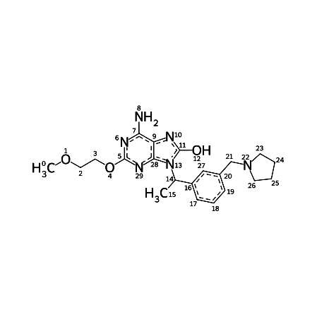 COCCOc1nc(N)c2nc(O)n(C(C)c3cccc(CN4CCCC4)c3)c2n1